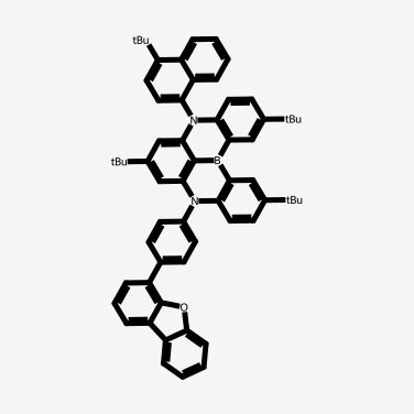 CC(C)(C)c1ccc2c(c1)B1c3cc(C(C)(C)C)ccc3N(c3ccc(C(C)(C)C)c4ccccc34)c3cc(C(C)(C)C)cc(c31)N2c1ccc(-c2cccc3c2oc2ccccc23)cc1